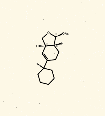 CC(=O)O[C@@H]1OC[C@H]2C=C(C3(C)CCCCC3)CC[C@@H]12